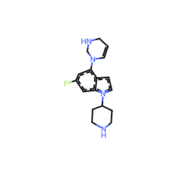 Fc1cc(N2C=CCNC2)c2ccn(C3CCNCC3)c2c1